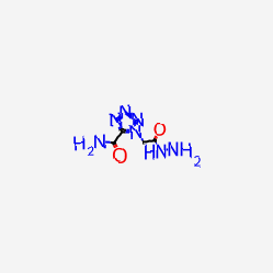 NNC(=O)Cn1nnnc1C(N)=O